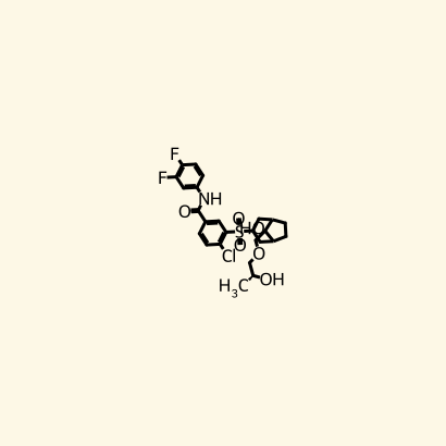 C[C@H](O)COCC1(O)C2CCC1CC(S(=O)(=O)c1cc(C(=O)Nc3ccc(F)c(F)c3)ccc1Cl)C2